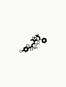 CCC(CC)(C(=N)CC(=O)c1c(C)nn2c1N[C@@H](c1ccccc1)CC2(C)C)c1ccc(Cl)cc1